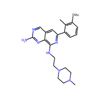 COc1cccc(-c2cc3cnc(N)nc3c(NCCN3CCN(C)CC3)n2)c1C